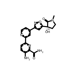 CN1CC[C@@](O)(c2cc(-c3ccnc(-c4ccc(N)c(C(N)=O)n4)c3)no2)C1=O